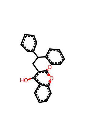 O=c1oc2ccccc2c(O)c1CC(c1ccccc1)c1ccccc1